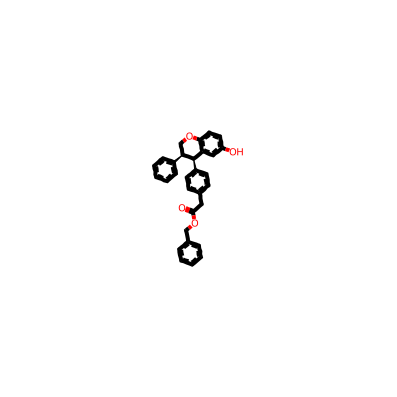 O=C(Cc1ccc([C@@H]2c3cc(O)ccc3OC[C@@H]2c2ccccc2)cc1)OCc1ccccc1